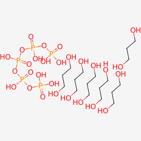 O=P(O)(O)OP(=O)(O)OP(=O)(O)OP(=O)(O)OP(=O)(O)O.OCCCO.OCCCO.OCCCO.OCCCO.OCCCO.OCCCO